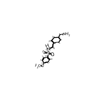 NCC1CCC(CNS(=O)(=O)c2ccc(OC(F)(F)F)cc2)CC1